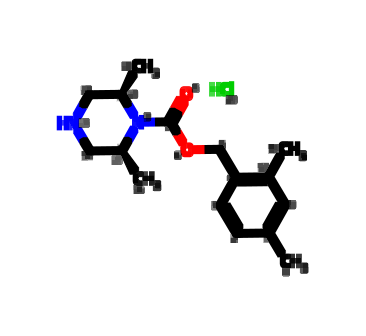 Cc1ccc(COC(=O)N2[C@H](C)CNC[C@@H]2C)c(C)c1.Cl